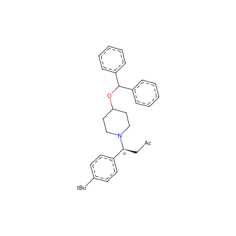 CC(=O)C[C@@H](c1ccc(C(C)(C)C)cc1)N1CCC(OC(c2ccccc2)c2ccccc2)CC1